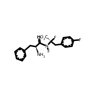 N[C@@H](Cc1ccccc1)C(=O)N(F)[C@@](F)(Cc1ccc(F)cc1)C(=O)O